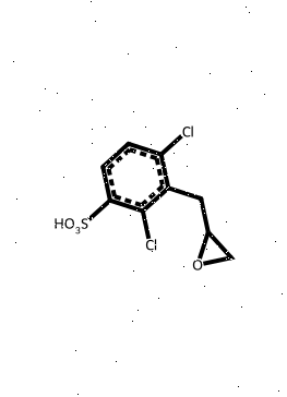 O=S(=O)(O)c1ccc(Cl)c(CC2CO2)c1Cl